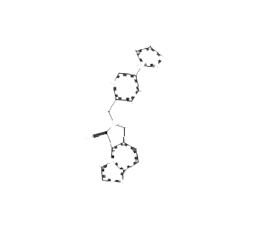 O=C1c2c(ccc3nccn23)CN1Cc1ccc(-n2ccnn2)cn1